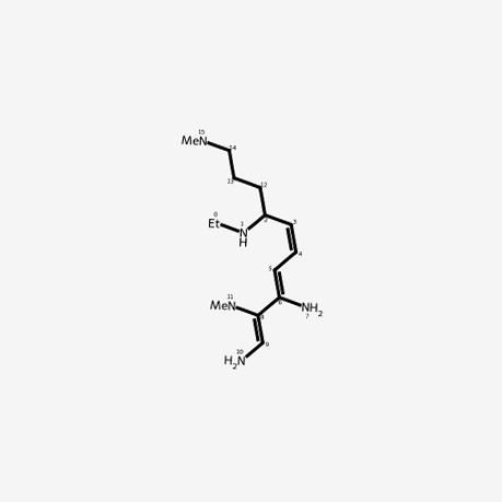 CCNC(\C=C/C=C(N)/C(=C/N)NC)CCCNC